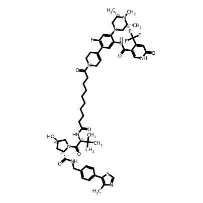 Cc1ncsc1-c1ccc(CNC(=O)[C@@H]2C[C@@H](O)CN2C(=O)[C@@H](NC(=O)CCCCCCCCC(=O)N2CC=C(c3cc(NC(=O)c4c[nH]c(=O)cc4C(F)(F)F)c(N4C[C@@H](C)N(C)[C@@H](C)C4)cc3F)CC2)C(C)(C)C)cc1